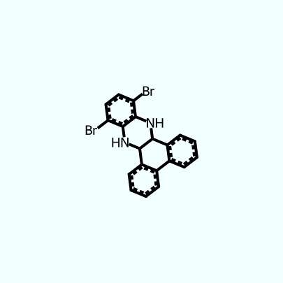 Brc1ccc(Br)c2c1NC1c3ccccc3-c3ccccc3C1N2